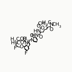 COC(=O)NC(CCC=CC(=O)N(C)C)C(=O)Nc1cccn(Cc2cc3cc(F)cc(OCC(F)F)c3n2C(=O)OC(C)(C)C)c1=O